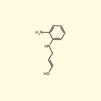 Nc1ccccc1NCC=CO